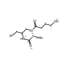 CC(C)CC(COC(=O)CCCO)NC(=O)OC(C)(C)C